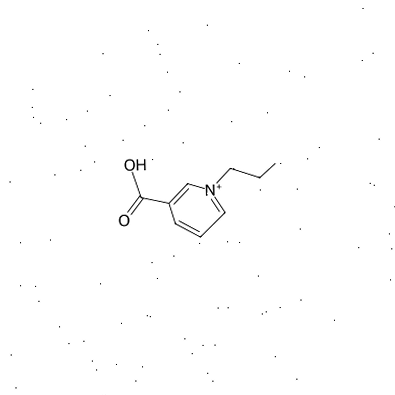 CCC[n+]1cccc(C(=O)O)c1